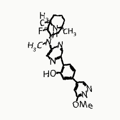 COc1cc(-c2ccc(-c3cnc(N(C)[C@@H]4C[C@@]5(C)CCC[C@](C)(N5)[C@@H]4F)cn3)c(O)c2)cnn1